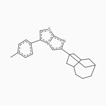 Cc1ccc(-c2csc3nc(C45CC6CCCC(C4)C(C6)C5)cn23)cc1